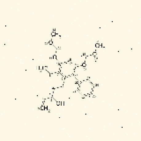 C=CC(O)CCc1c(CC)c(OCOC)cc(OCOC)c1-c1ccccc1